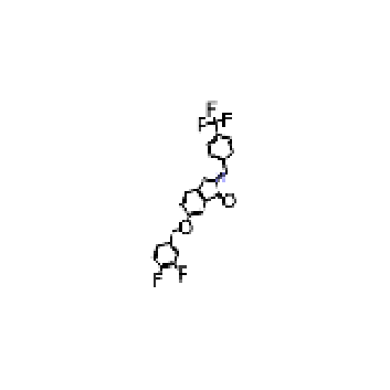 O=C1/C(=C/c2ccc(C(F)(F)F)cc2)Cc2ccc(OCc3ccc(F)c(F)c3)cc21